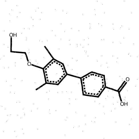 Cc1cc(-c2ccc(C(=O)O)cc2)cc(C)c1OCCO